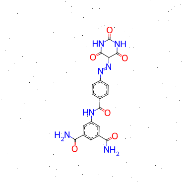 NC(=O)c1cc(NC(=O)c2ccc(N=NC3C(=O)NC(=O)NC3=O)cc2)cc(C(N)=O)c1